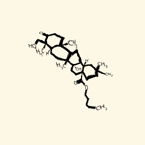 CCCCOC(=O)[C@]12CCC(C)(C)C[C@H]1C1=CCC3[C@@]4(C)CCC(=O)[C@@](C)(CO)[C@@H]4CC[C@@]3(C)[C@]1(C)CC2